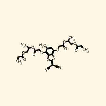 C=CC(=O)OCC(C)OC(=O)COc1cc(C)c(OCC(=O)OC(C)COC(=O)C=C)c2c1SC(=C(C#N)C#N)S2